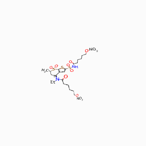 CCN(C(=O)CCCCCO[N+](=O)[O-])[C@H]1CC(C)S(=O)(=O)c2sc(S(=O)(=O)NC(=O)CCCCCO[N+](=O)[O-])cc21